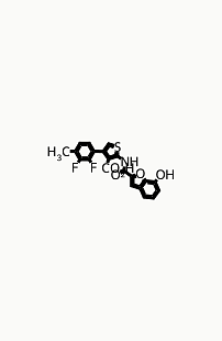 Cc1ccc(-c2csc(NC(=O)c3cc4cccc(O)c4o3)c2C(=O)O)c(F)c1F